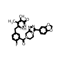 Cc1c(Cc2ccc(F)c(C(=O)N3CCn4c(nnc4-c4ccc5c(c4)OCO5)C3)c2)n[nH]c(=O)c1C